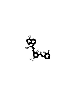 CCCCc1c(Cl)cccc1C=CC1=C(Cl)C(=CC=c2c3cccc4c(Cl)ccc(c43)n2CCCC)CC(C)C1